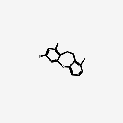 Fc1cc(F)c2c(c1)Oc1cccc(F)c1CC2